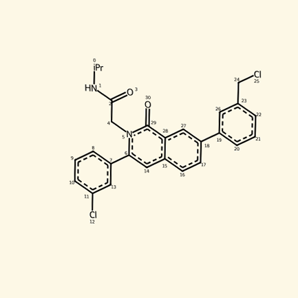 CC(C)NC(=O)Cn1c(-c2cccc(Cl)c2)cc2ccc(-c3cccc(CCl)c3)cc2c1=O